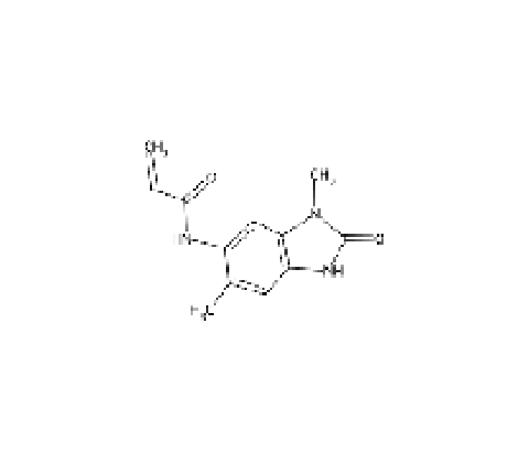 C=CC(=O)Nc1cc2c(cc1C)[nH]c(=O)n2C